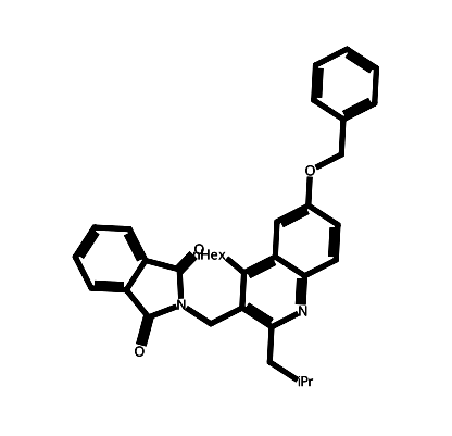 CCCCCCc1c(CN2C(=O)c3ccccc3C2=O)c(CC(C)C)nc2ccc(OCc3ccccc3)cc12